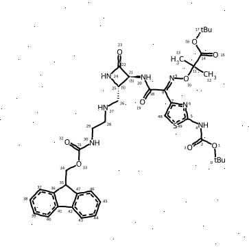 CC(C)(C)OC(=O)Nc1nc(C(=NOC(C)(C)C(=O)OC(C)(C)C)C(=O)N[C@@H]2C(=O)N[C@H]2CNCCNC(=O)OCC2c3ccccc3-c3ccccc32)cs1